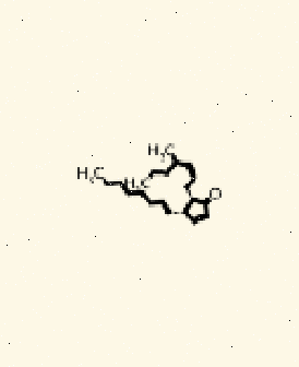 CCCCCCC=C[C@H]1C=CC(=O)[C@@H]1C/C=C\C(C)CCC